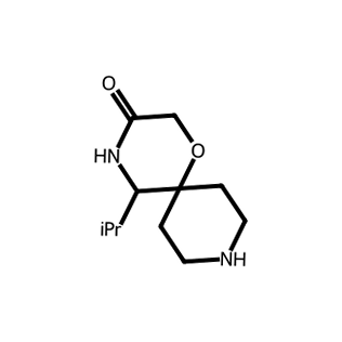 CC(C)C1NC(=O)COC12CCNCC2